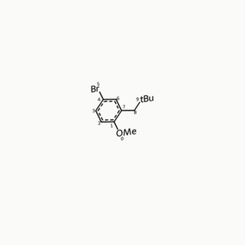 COc1ccc(Br)cc1CC(C)(C)C